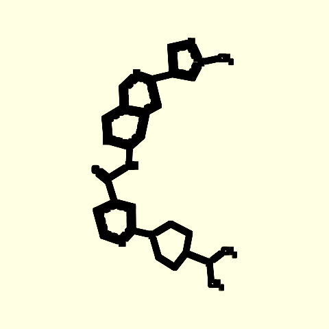 CN(C)C1CCN(c2cc(C(=O)Nc3cc4cc(-c5cnn(C)c5)ncc4cn3)ccn2)CC1